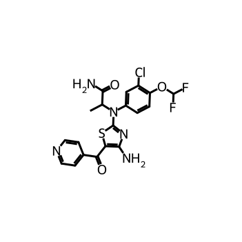 CC(C(N)=O)N(c1ccc(OC(F)F)c(Cl)c1)c1nc(N)c(C(=O)c2ccncc2)s1